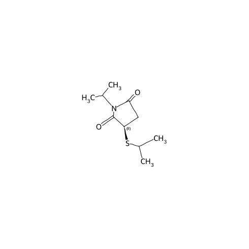 CC(C)S[C@@H]1CC(=O)N(C(C)C)C1=O